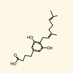 CC(C)=CCCC(C)=CCc1c(O)cc(CCCC(=O)O)cc1O